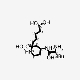 CC[C@H](C)[C@H](N)C(O)N[C@H]1CCN[C@@](CCCCB(O)O)(C(=O)O)C1